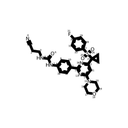 N#CCCNC(=O)Nc1ccc(-c2nc(N3CCOCC3)cc(C3(S(=O)(=O)c4ccc(F)cc4)CC3)n2)cc1